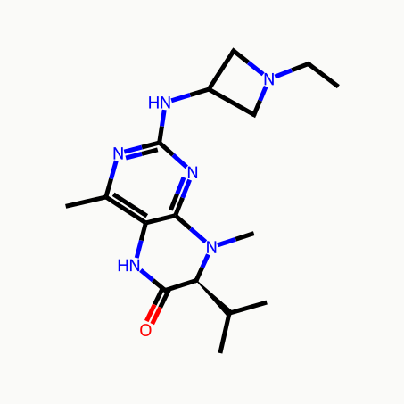 CCN1CC(Nc2nc(C)c3c(n2)N(C)[C@@H](C(C)C)C(=O)N3)C1